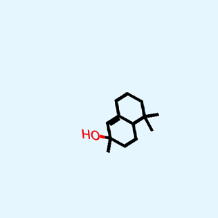 CC1(O)C=C2CCCC(C)(C)C2CC1